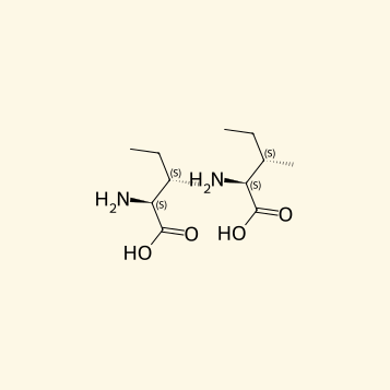 CC[C@H](C)[C@H](N)C(=O)O.CC[C@H](C)[C@H](N)C(=O)O